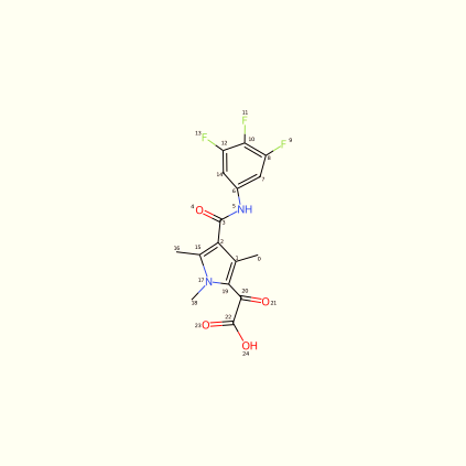 Cc1c(C(=O)Nc2cc(F)c(F)c(F)c2)c(C)n(C)c1C(=O)C(=O)O